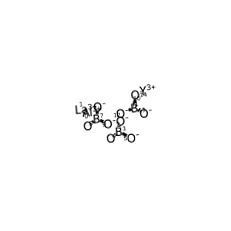 [Al+3].[La+3].[O-]B([O-])[O-].[O-]B([O-])[O-].[O-]B([O-])[O-].[Y+3]